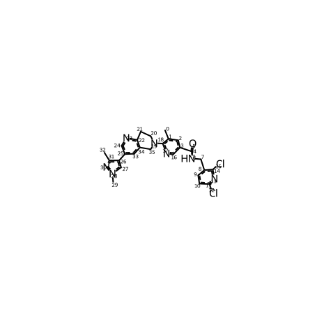 Cc1cc(C(=O)NCc2ccc(Cl)nc2Cl)cnc1N1CCc2ncc(-c3cn(C)nc3C)cc2C1